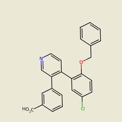 O=C(O)c1cccc(-c2cnccc2-c2cc(Cl)ccc2OCc2ccccc2)c1